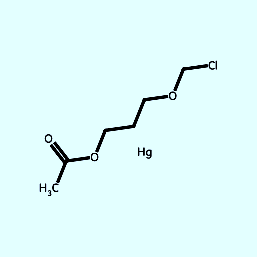 CC(=O)OCCCOCCl.[Hg]